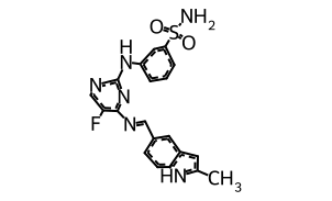 Cc1cc2cc(/C=N/c3nc(Nc4cccc(S(N)(=O)=O)c4)ncc3F)ccc2[nH]1